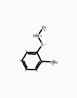 CCCCc1ccccc1SNCC